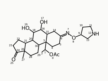 CC(=O)OC(C)C12CCC(=NOC3CCNC3)CC1C(O)C(O)C1C3CCC(=O)C3(C)CCC12